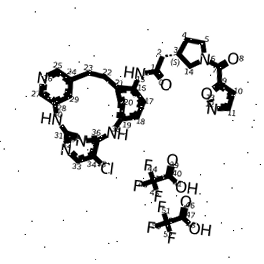 O=C(C[C@@H]1CCN(C(=O)c2ccno2)C1)Nc1ccc2cc1CCc1cncc(c1)Nc1ncc(Cl)c(n1)N2.O=C(O)C(F)(F)F.O=C(O)C(F)(F)F